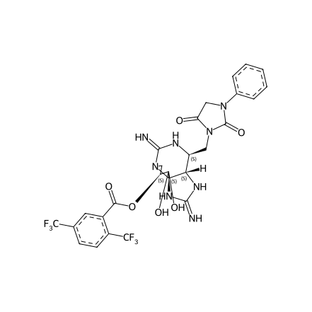 N=C1N[C@H]2[C@H](CN3C(=O)CN(c4ccccc4)C3=O)NC(=N)N3C[C@H](OC(=O)c4cc(C(F)(F)F)ccc4C(F)(F)F)C(O)(O)[C@]23N1